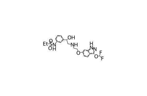 CCS(=O)(=O)Nc1cccc(C(O)CNCCOc2ccc3c(OC(F)F)n[nH]c3c2)c1